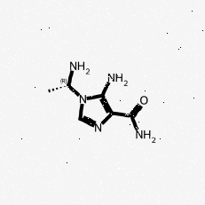 C[C@H](N)n1cnc(C(N)=O)c1N